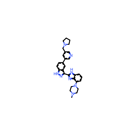 CN1CCN(c2cccc3[nH]c(-c4n[nH]c5ccc(-c6cncc(CN7CCCC7)c6)cc45)nc23)CC1